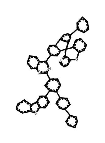 c1ccc(-c2ccc(-c3ccc(-c4nc(-c5ccc6c(c5)C5(c7ccccc7Oc7ccccc75)c5cc(-c7ccccc7)ccc5-6)c5ccccc5n4)cc3-c3ccc4sc5ccccc5c4c3)cc2)cc1